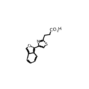 O=C(O)CCc1nc(-c2occ3ccccc23)cs1